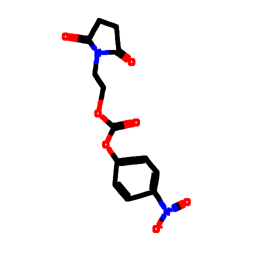 O=C(OCCN1C(=O)CCC1=O)Oc1ccc([N+](=O)[O-])cc1